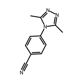 Cc1nnc(C)n1-c1ccc(C#N)cc1